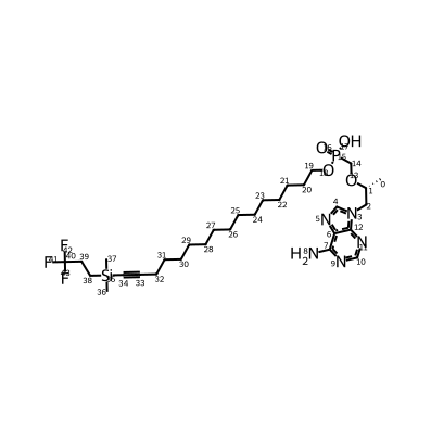 C[C@H](Cn1cnc2c(N)ncnc21)OCP(=O)(O)OCCCCCCCCCCCCCCC#C[Si](C)(C)CCC(F)(F)F